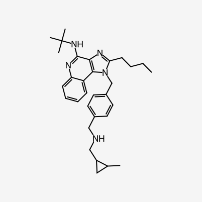 CCCCc1nc2c(NC(C)(C)C)nc3ccccc3c2n1Cc1ccc(CNCC2CC2C)cc1